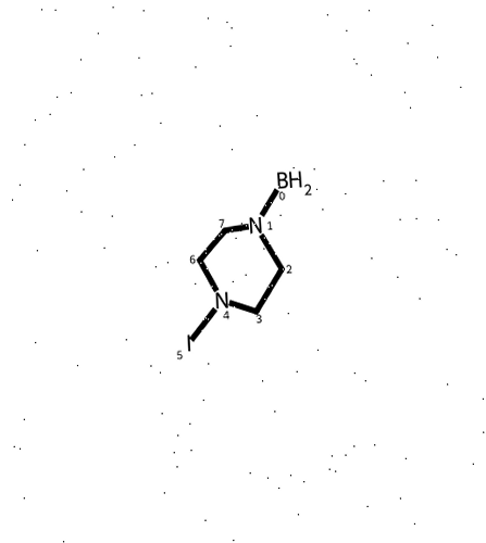 BN1CCN(I)CC1